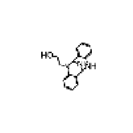 OCCN1c2ccccc2C2Nc3ccccc3C1N2